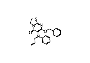 C=CCN(c1ccccc1)c1c(OCc2ccccc2)nc2n(c1=O)CCS2